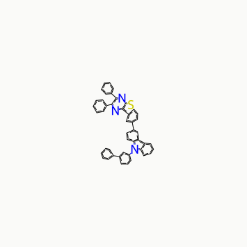 c1ccc(-c2cccc(-n3c4ccccc4c4cc(-c5ccc6sc7nc(-c8ccccc8)c(-c8ccccc8)nc7c6c5)ccc43)c2)cc1